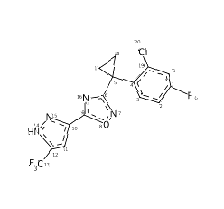 Fc1ccc(C2(c3noc(-c4cc(C(F)(F)F)[nH]n4)n3)CC2)c(Cl)c1